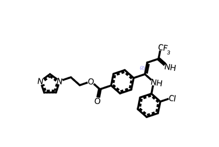 N=C(/C=C(\Nc1ccccc1Cl)c1ccc(C(=O)OCCn2ccnc2)cc1)C(F)(F)F